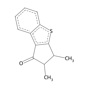 CC1C(=O)c2c(sc3ccccc23)C1C